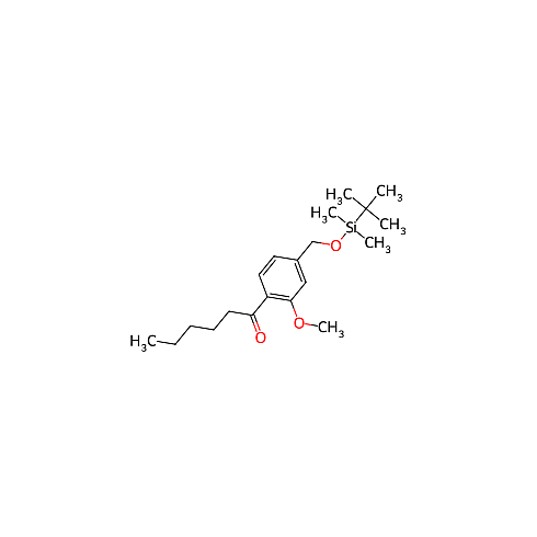 CCCCCC(=O)c1ccc(CO[Si](C)(C)C(C)(C)C)cc1OC